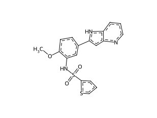 COc1ccc(-c2cc3ncccc3[nH]2)cc1NS(=O)(=O)c1cccs1